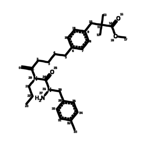 C=C(CCCCc1ccc(CC(C)(C)C(=O)OC)cc1)N(CCC)C(=O)N(N)Cc1ccc(C)cc1